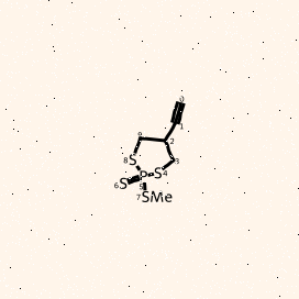 C#CC1CSP(=S)(SC)SC1